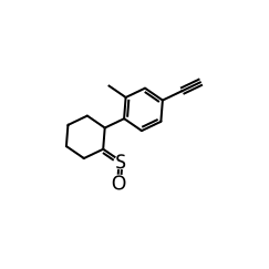 C#Cc1ccc(C2CCCCC2=S=O)c(C)c1